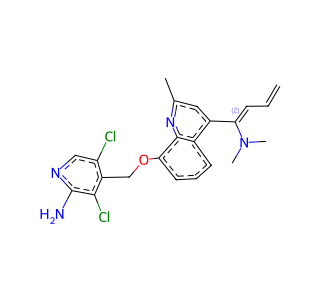 C=C/C=C(/c1cc(C)nc2c(OCc3c(Cl)cnc(N)c3Cl)cccc12)N(C)C